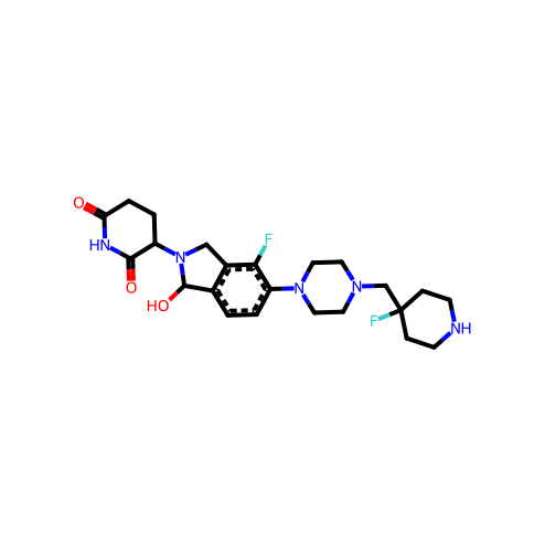 O=C1CCC(N2Cc3c(ccc(N4CCN(CC5(F)CCNCC5)CC4)c3F)C2O)C(=O)N1